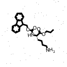 CCCOC(=O)[C@H](CCCCN)NC(=O)OCC1c2ccccc2-c2ccccc21